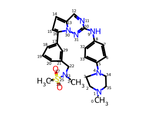 CN1CCN(c2ccc(Nc3ncc4ccc(-c5cccc(CN(C)S(C)(=O)=O)c5)n4n3)cc2)CC1